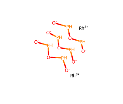 [O-]POP[O-].[O-]POP[O-].[O-]POP[O-].[Rh+3].[Rh+3]